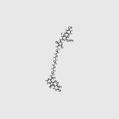 COc1cc(/C=C2\SC(=O)N(CCOCCOCCOCCOCCOCCNc3cccc4c3C(=O)N(C3CCC(=O)NC3=O)C4=O)C2=O)ccc1Oc1ccc(C#N)cc1C(F)(F)F